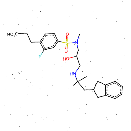 CN(CC(O)CNC(C)(C)CC1Cc2ccccc2C1)S(=O)(=O)c1ccc(CCC(=O)O)c(F)c1